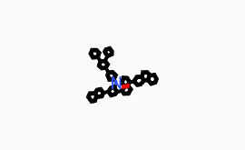 c1ccc(-c2ccc(-c3ccc(N(c4ccc(-c5ccc6c(ccc7ccccc76)c5)cc4)c4cc(-c5ccc6ccccc6c5)ccc4-c4ccccc4)cc3)cc2-c2ccccc2)cc1